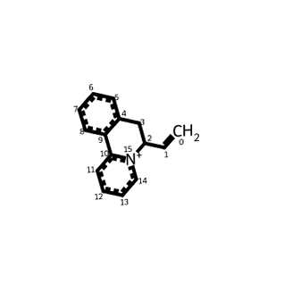 C=CC1Cc2ccccc2-c2cccc[n+]21